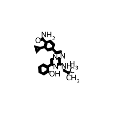 CC(C)CNc1nc(-c2ccccc2O)cn2c(-c3ccc(C(N)=O)c(C4CC4)c3)cnc12